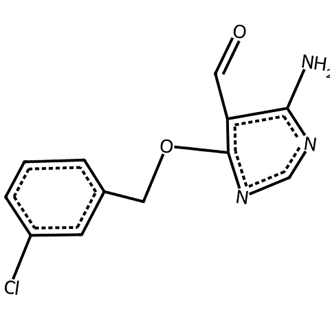 Nc1ncnc(OCc2cccc(Cl)c2)c1C=O